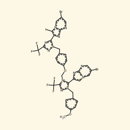 COc1ccc(Cn2nc(C(F)(F)F)[n+](COc3ccc(Cn4nc(C(F)(F)F)nc4-c4nc5ncc(Br)cn5c4I)cc3)c2-c2cn3cc(Br)cnc3n2)cc1